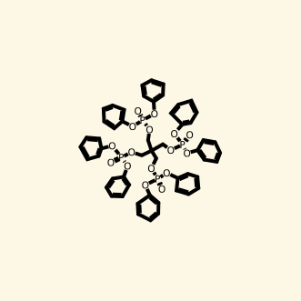 O=P(OCC(COP(=O)(Oc1ccccc1)Oc1ccccc1)(COP(=O)(Oc1ccccc1)Oc1ccccc1)COP(=O)(Oc1ccccc1)Oc1ccccc1)(Oc1ccccc1)Oc1ccccc1